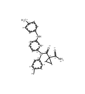 Cc1ccc(Nc2nccc(N(C(=O)C3(C(N)=O)CC3)c3ccc(F)cc3)n2)cc1